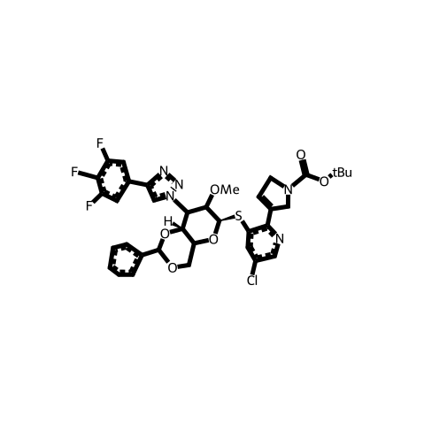 COC1C(n2cc(-c3cc(F)c(F)c(F)c3)nn2)[C@H]2OC(c3ccccc3)OCC2O[C@@H]1Sc1cc(Cl)cnc1C1=CCN(C(=O)OC(C)(C)C)C1